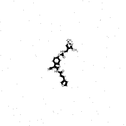 Cc1nn(C)cc1CNC(=O)OC1CCc2c(sc(NC(=O)C=Cc3ccoc3)c2C#N)C1